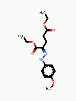 CCOC(=O)CC/C(=N/Nc1ccc(OC)cc1)C(=O)OCC